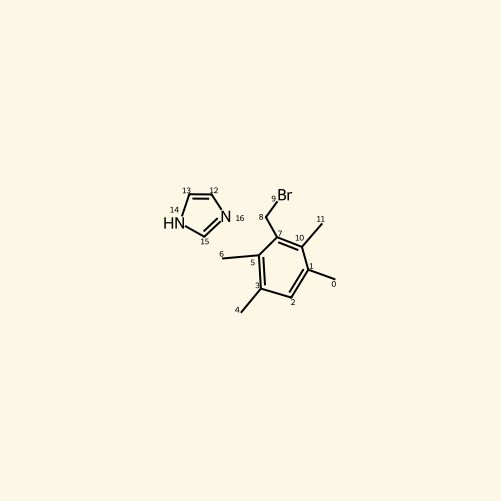 Cc1cc(C)c(C)c(CBr)c1C.c1c[nH]cn1